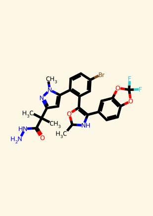 CC1NC(c2ccc3c(c2)OC(F)(F)O3)=C(c2cc(Br)ccc2-c2cc(C(C)(C)C(=O)NN)nn2C)O1